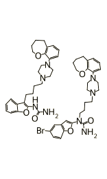 NC(=O)N(CCCCN1CCN(c2cccc3c2OCCCC3)CC1)c1cc2cc(Br)ccc2o1.NC(=O)Nc1oc2ccccc2c1CCCCN1CCN(c2cccc3c2OCCCC3)CC1